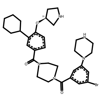 O=C(c1cc(Br)cc(N2CCNCC2)c1)N1CCN(C(=O)c2ccc(O[C@H]3CCNC3)c(C3CCCCC3)c2)CC1